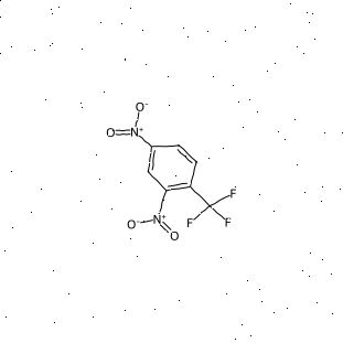 O=[N+]([O-])c1ccc(C(F)(F)F)c([N+](=O)[O-])c1